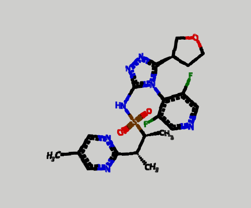 Cc1cnc([C@@H](C)[C@H](C)S(=O)(=O)Nc2nnc([C@@H]3CCOC3)n2-c2c(F)cncc2F)nc1